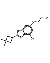 CC(C)CCOc1cc(C(F)(F)F)c2nn(C3CC(C)(C)C3)cc2c1